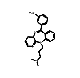 COc1cccc(C2=Nc3cccnc3N(CCCN(C)C)c3ccccc32)c1